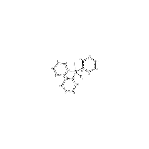 [F][Bi]([F])([c]1ccccc1)([c]1ccccc1)[c]1ccccc1